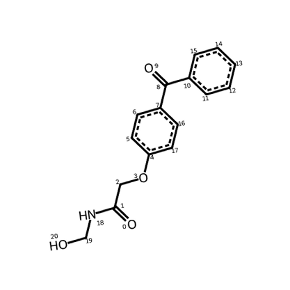 O=C(COc1ccc(C(=O)c2ccccc2)cc1)NCO